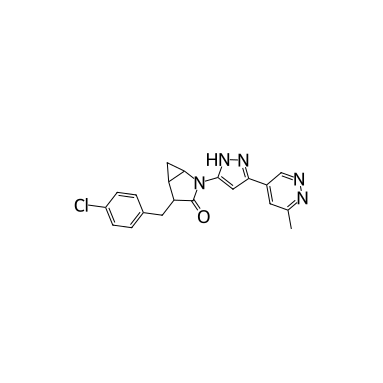 Cc1cc(-c2cc(N3C(=O)C(Cc4ccc(Cl)cc4)C4CC43)[nH]n2)cnn1